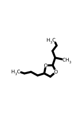 CCCCC1COC(C(C)CCC)O1